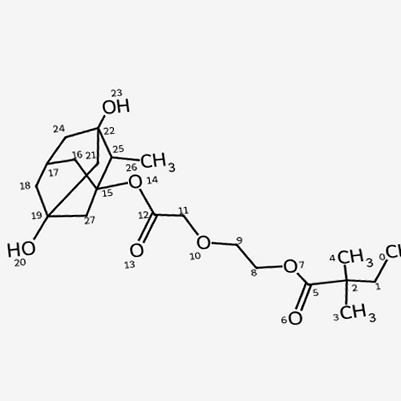 CCC(C)(C)C(=O)OCCOCC(=O)OC12CC3CC(O)(CC(O)(C3)C1C)C2